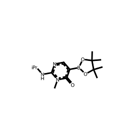 CC(C)Nc1ncc(B2OC(C)(C)C(C)(C)O2)c(=O)n1C